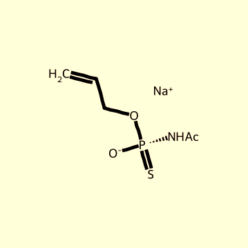 C=CCO[P@]([O-])(=S)NC(C)=O.[Na+]